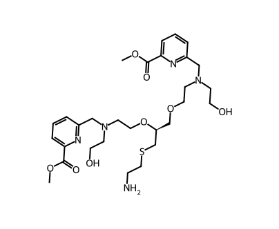 COC(=O)c1cccc(CN(CCO)CCOC[C@@H](CSCCN)OCCN(CCO)Cc2cccc(C(=O)OC)n2)n1